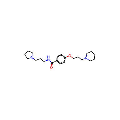 O=C(NCCCN1CCCC1)c1ccc(OCCCN2CCCCC2)cc1